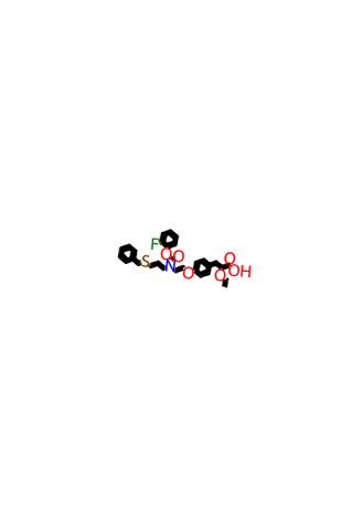 CCOC(Cc1ccc(OCCN(CCCSCc2ccccc2)C(=O)Oc2ccccc2F)cc1)C(=O)O